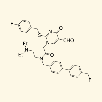 CCN(CC)CCN(Cc1ccc(-c2ccc(CF)cc2)cc1)C(=O)Cn1cc(C=O)c(=O)nc1SCc1ccc(F)cc1